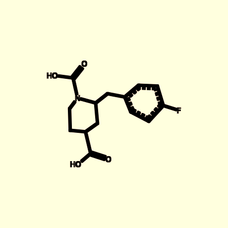 O=C(O)C1CCN(C(=O)O)C(Cc2ccc(F)cc2)C1